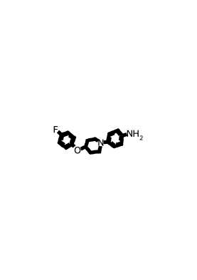 Nc1ccc(N2CCC(Oc3ccc(F)cc3)CC2)cc1